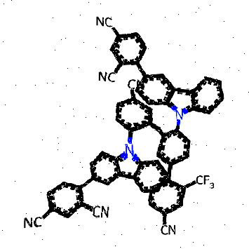 N#Cc1ccc(-c2ccc3c(c2)c2ccccc2n3-c2ccc(C#N)cc2-c2cc(-c3ccc(C#N)cc3C(F)(F)F)ccc2-n2c3ccccc3c3cc(-c4ccc(C#N)cc4C#N)ccc32)c(C#N)c1